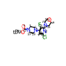 CC(C)(C)OC(=O)N1CCN(c2cc(Cl)nc(N3CCOCC3)c2F)CC1